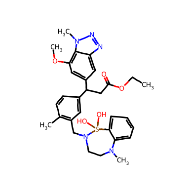 CCOC(=O)CC(c1ccc(C)c(CN2CCN(C)c3ccccc3S2(O)O)c1)c1cc(OC)c2c(c1)nnn2C